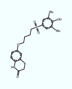 CC(C)(C)c1cc(S(=O)(=O)CCCCOc2ccc3c(c2)CCC(=O)N3)cc(C(C)(C)C)c1O